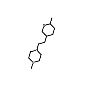 CC1CCC(CCN2CCN(C)CC2)CS1